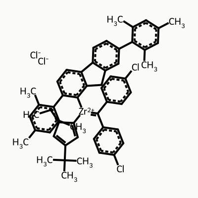 CCC1C=C(C(C)(C)C)C=[C]1[Zr+2](=[C](c1ccc(Cl)cc1)c1ccc(Cl)cc1)[c]1c(-c2c(C)cc(C)cc2C)ccc2c1Cc1cc(-c3c(C)cc(C)cc3C)ccc1-2.[Cl-].[Cl-]